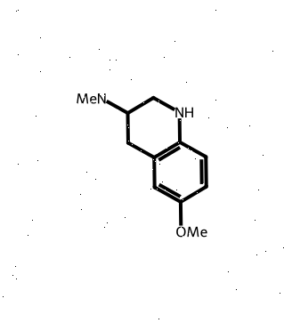 CNC1CNc2ccc(OC)cc2C1